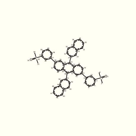 CP(C)(=O)c1cccc(-c2ccc3c(-c4ccc5ccccc5c4)c4cc(-c5cccc(P(C)(C)=O)c5)ccc4c(-c4ccc5ccccc5c4)c3c2)c1